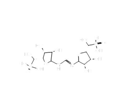 O=P(O)(O)C(O)[C@H]1OC(N=CNC2O[C@H](C(O)P(=O)(O)O)[C@@H](O)[C@H]2O)[C@H](O)[C@@H]1O